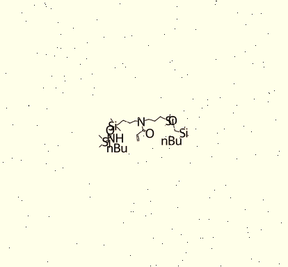 C=CC(=O)N(CCC[Si](C)(C)OC[Si](C)(C)CCCC)CCC[Si](C)(C)ON[Si](C)(C)CCCC